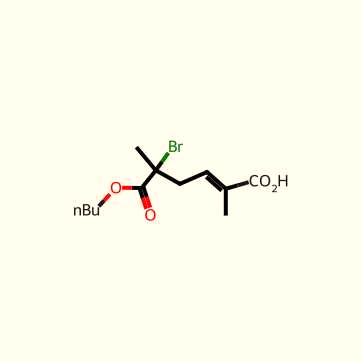 CCCCOC(=O)C(C)(Br)CC=C(C)C(=O)O